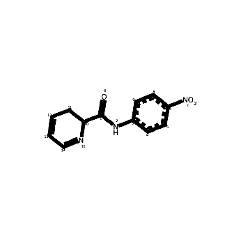 O=C(Nc1ccc([N+](=O)[O-])cc1)C1CC=CC=N1